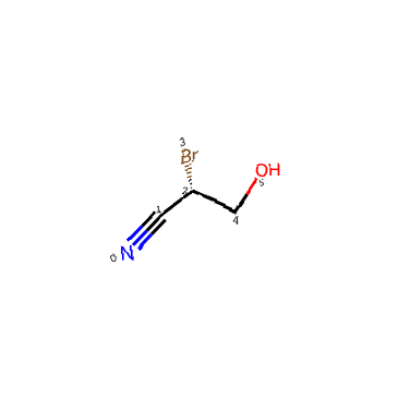 N#C[C@H](Br)CO